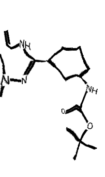 C=CN/C(=N\N(C)C)[C@H]1CCC[C@@H](NC(=O)OC(C)(C)C)C1